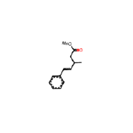 COC(=O)CC(C)/C=C/c1ccccc1